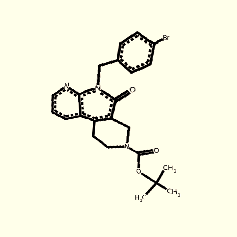 CC(C)(C)OC(=O)N1CCc2c(c(=O)n(Cc3ccc(Br)cc3)c3ncccc23)C1